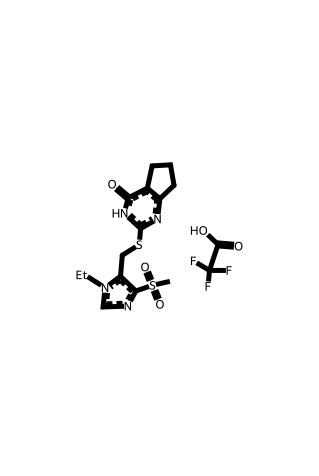 CCn1cnc(S(C)(=O)=O)c1CSc1nc2c(c(=O)[nH]1)CCC2.O=C(O)C(F)(F)F